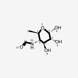 C[C@H]1O[C@H](O)[C@H](O)[C@@H](O)[C@@H]1NC=O